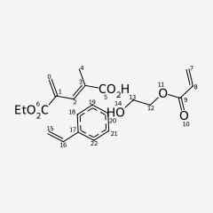 C=C(C=C(C)C(=O)O)C(=O)OCC.C=CC(=O)OCCO.C=Cc1ccccc1